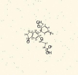 COc1ccc(F)cc1-c1cc2c(cc1OCCCC(=O)O)C(=O)CC2